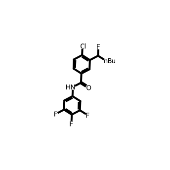 CCCCC(F)c1cc(C(=O)Nc2cc(F)c(F)c(F)c2)ccc1Cl